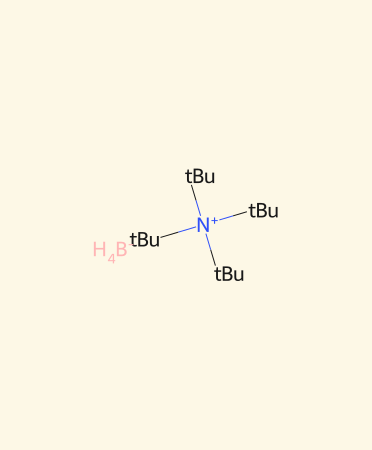 CC(C)(C)[N+](C(C)(C)C)(C(C)(C)C)C(C)(C)C.[BH4-]